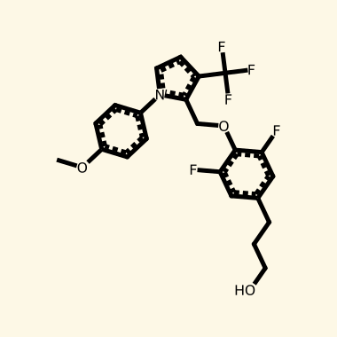 COc1ccc(-n2ccc(C(F)(F)F)c2COc2c(F)cc(CCCO)cc2F)cc1